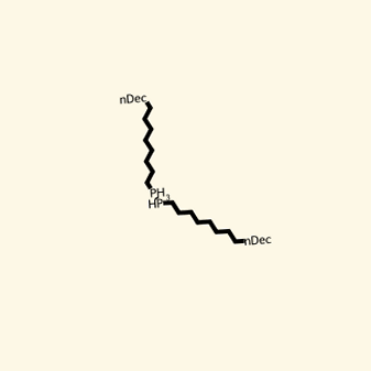 CCCCCCCCCCCCCCCCCCP[PH3]CCCCCCCCCCCCCCCCCC